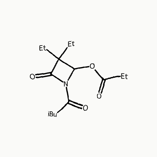 CCC(=O)OC1N(C(=O)C(C)CC)C(=O)C1(CC)CC